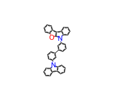 c1cc(-c2cccc(-n3c4ccccc4c4c5ccccc5oc43)c2)cc(-n2c3ccccc3c3ccccc32)c1